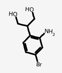 Nc1cc(Br)ccc1C(CO)CO